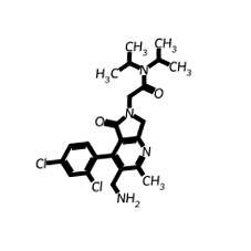 Cc1nc2c(c(-c3ccc(Cl)cc3Cl)c1CN)C(=O)N(CC(=O)N(C(C)C)C(C)C)C2